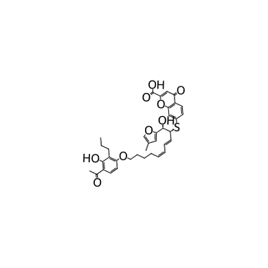 CCCc1c(OCCCC/C=C\C=C\[C@H](Sc2ccc3c(=O)cc(C(=O)O)oc3c2)[C@H](O)c2cc(C)co2)ccc(C(C)=O)c1O